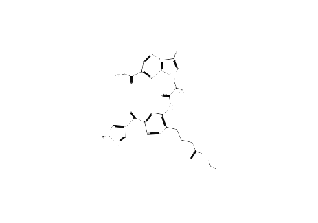 CCOC(=O)CCCc1ccc(C(=O)c2cnn(C)c2)cc1NC(=O)C(C)n1cc(C)c2ccc(C(=O)NC)cc21